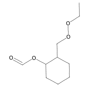 CCOOCC1CCCCC1OC=O